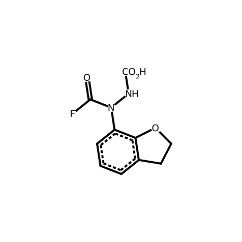 O=C(O)NN(C(=O)F)c1cccc2c1OCC2